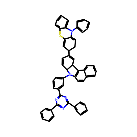 C1=CC2C(C=C1C1C=C3Sc4ccccc4N(c4ccccc4)C3=CC1)c1c(ccc3ccccc13)N2c1cccc(-c2nc(-c3ccccc3)nc(-c3ccccc3)n2)c1